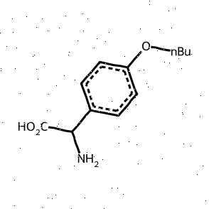 CCCCOc1ccc(C(N)C(=O)O)cc1